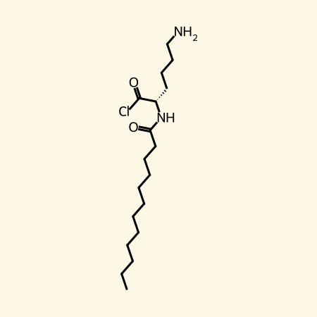 CCCCCCCCCCCC(=O)N[C@@H](CCCCN)C(=O)Cl